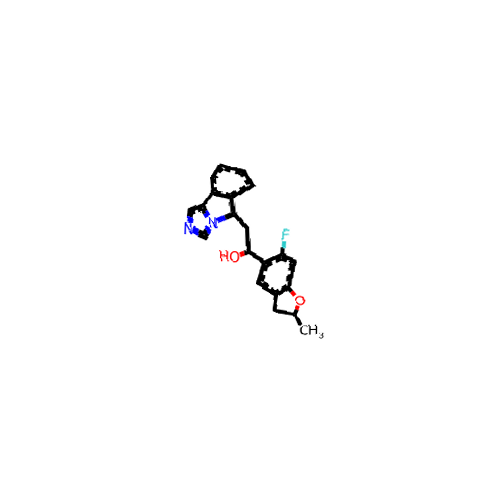 CC1Cc2cc(C(O)CC3c4ccccc4-c4cncn43)c(F)cc2O1